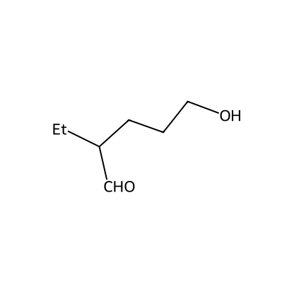 CCC(C=O)CCCO